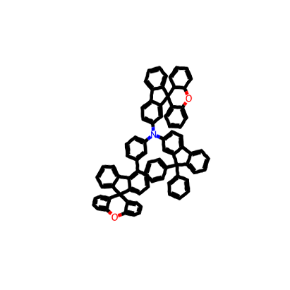 C1=CC2Oc3ccccc3C3(c4ccccc4-c4ccc(N(c5cccc(-c6cccc7c6-c6ccccc6C76c7ccccc7Oc7ccccc76)c5)c5ccc6c(c5)C(c5ccccc5)(c5ccccc5)c5ccccc5-6)cc43)C2C=C1